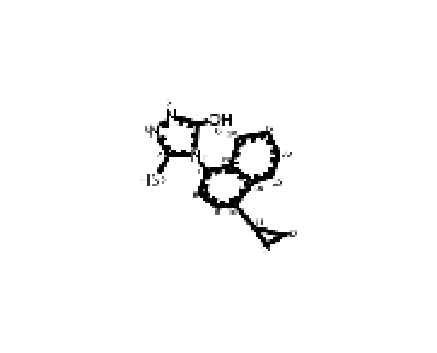 Oc1nnc(S)n1-c1ccc(C2CC2)c2ccccc12